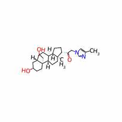 Cc1cn(CC(=O)[C@H]2CC[C@H]3[C@@H]4CC[C@H]5C[C@H](O)CC[C@]5(CCO)[C@H]4CC[C@]23C)cn1